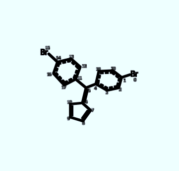 Brc1ccc(C(=C2C=CC=C2)c2ccc(Br)cc2)cc1